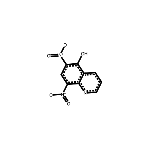 O=[N+]([O-])c1cc([N+](=O)[O-])c2ncccc2c1O